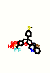 CSc1ccc(C(C/C=C/c2ccccc2)(Cc2ccc(C(F)(F)P(=O)(O)O)cc2)C(=O)c2cncc(Br)c2)cc1